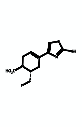 O=C(O)N1CC=C(c2csc(S)n2)C[C@@H]1CF